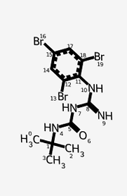 CC(C)(C)NC(=O)NC(=N)Nc1c(Br)cc(Br)cc1Br